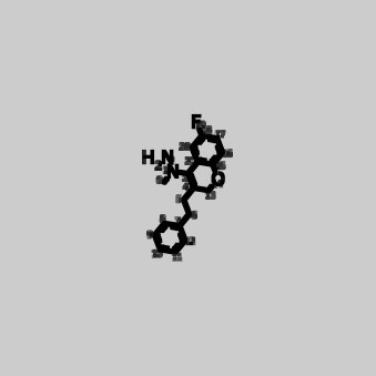 CN(N)C1=C(CCc2ccccc2)COc2ccc(F)cc21